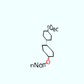 CCCCCCCCCCC1CCC([C@H]2CC[C@H](OCCCCCCCCC)CC2)CC1